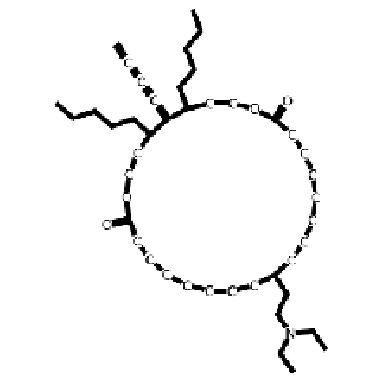 C=C=C=C=C1C(CCCCC)CCOC(=O)CCCCCCCC(CCN(CC)CC)CCCCCCCC(=O)OCCC1CCCCC